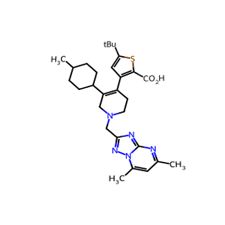 Cc1cc(C)n2nc(CN3CCC(c4cc(C(C)(C)C)sc4C(=O)O)=C(C4CCC(C)CC4)C3)nc2n1